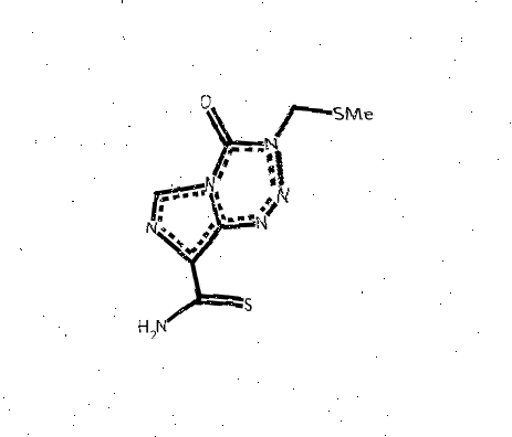 CSCn1nnc2c(C(N)=S)ncn2c1=O